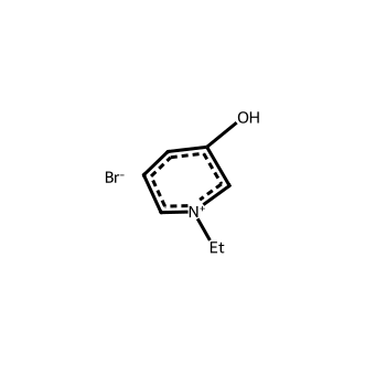 CC[n+]1cccc(O)c1.[Br-]